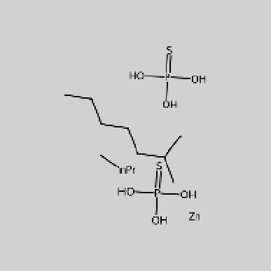 CCCC.CCCCCC(C)C.OP(O)(O)=S.OP(O)(O)=S.[Zn]